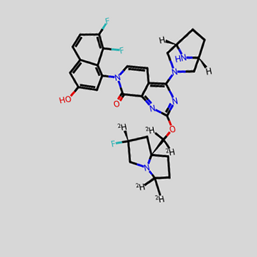 [2H]C1([2H])CC[C@@]2(C([2H])([2H])Oc3nc(N4C[C@H]5CC[C@@H](C4)N5)c4ccn(-c5cc(O)cc6ccc(F)c(F)c56)c(=O)c4n3)C[C@@]([2H])(F)CN12